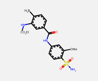 Bc1ccc(C(=O)Nc2ccc(S(N)(=O)=O)c(OC)c2)cc1NC(=O)OCC